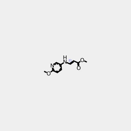 COC(=O)/C=C/Nc1ccc(OC)nc1